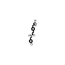 O=C(/C=C/c1ccc(Cc2c[nH]cn2)cc1)NCCc1ccc(Cl)cc1